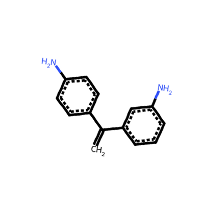 C=C(c1ccc(N)cc1)c1cccc(N)c1